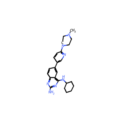 CN1CCN(c2ccc(-c3ccc4nc(N)nc(NC5CCCCC5)c4c3)cn2)CC1